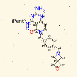 CCC[C@@H](C)Nc1nc(N)nc2ccn(Cc3ccc(CN4CC5(COC5)C4)cc3)c(=O)c12